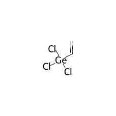 C=[CH][Ge]([Cl])([Cl])[Cl]